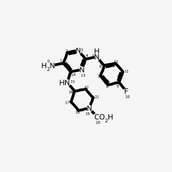 Nc1cnc(Nc2ccc(F)cc2)nc1NC1CCN(C(=O)O)CC1